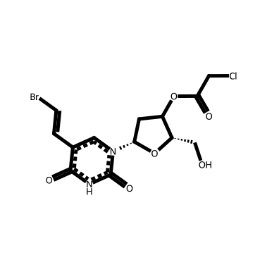 O=C(CCl)OC1C[C@@H](n2cc(/C=C/Br)c(=O)[nH]c2=O)O[C@H]1CO